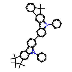 CC1(C)c2ccccc2-c2cc3c4cc(-c5ccc6c7cc8c(cc7n(-c7ccccc7)c6c5)C(C)(C)C(C)(C)C8(C)C)ccc4n(-c4ccccc4)c3cc21